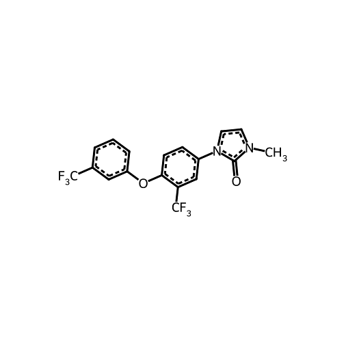 Cn1ccn(-c2ccc(Oc3cccc(C(F)(F)F)c3)c(C(F)(F)F)c2)c1=O